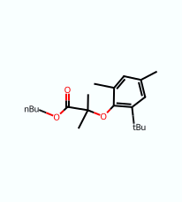 CCCCOC(=O)C(C)(C)Oc1c(C)cc(C)cc1C(C)(C)C